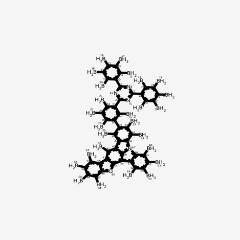 Bc1c(B)c(B)c(-c2nc(-c3c(B)c(B)c(B)c(B)c3B)nc(-c3c(B)c(B)c(B)c(-c4c(B)c(B)c5c(c4B)c4c(B)c6c(oc7c(B)c(B)c(B)c(B)c76)c6c7c(B)c(B)c(B)c(B)c7n5c46)c3B)n2)c(B)c1B